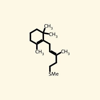 CSCC/C(C)=C/CC1=C(C)CCCC1(C)C